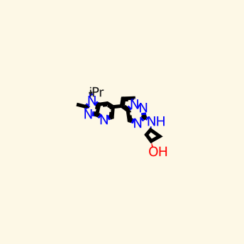 Cc1nc2ncc(-c3ccn4nc(N[C@H]5C[C@@H](O)C5)ncc34)cc2n1C(C)C